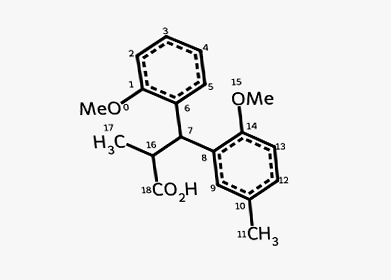 COc1ccccc1C(c1cc(C)ccc1OC)C(C)C(=O)O